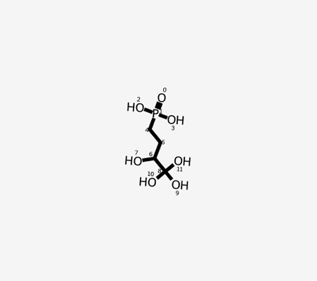 O=P(O)(O)CCC(O)C(O)(O)O